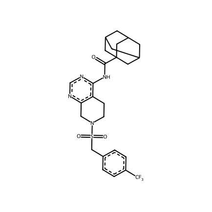 O=C(Nc1ncnc2c1CCN(S(=O)(=O)Cc1ccc(C(F)(F)F)cc1)C2)C12CC3CC(CC(C3)C1)C2